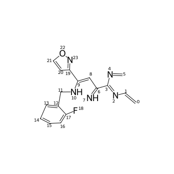 C=C/N=C(\N=C)C(=N)/C=C(\NCc1ccccc1F)c1ccon1